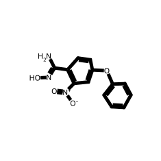 NC(=NO)c1ccc(Oc2ccccc2)cc1[N+](=O)[O-]